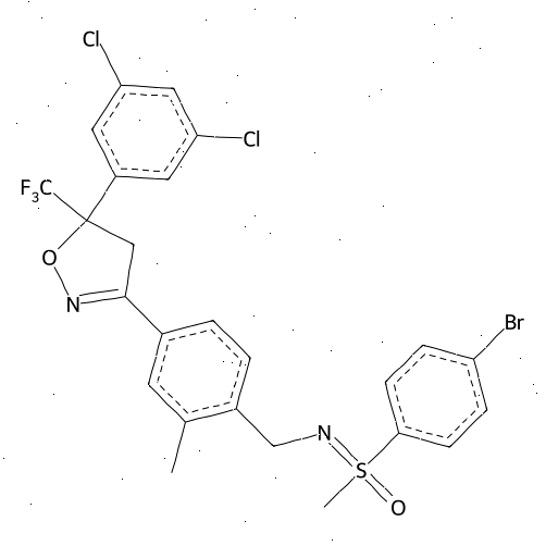 Cc1cc(C2=NOC(c3cc(Cl)cc(Cl)c3)(C(F)(F)F)C2)ccc1CN=S(C)(=O)c1ccc(Br)cc1